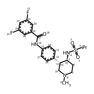 CC(C)S(=O)(=O)N[C@H]1CCN(C)C[C@@H]1c1ccc(NC(=O)c2cc(F)cc(F)c2)cc1